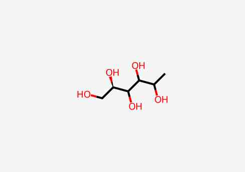 CC(O)C(O)C(O)[C@H](O)CO